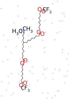 CN(C)CCCCC(CCCCCCCC(=O)OCCCCCCCCC(=O)OC(F)(F)F)CCCCCCCC(=O)OCCCCCCCCC(=O)OC(F)(F)F